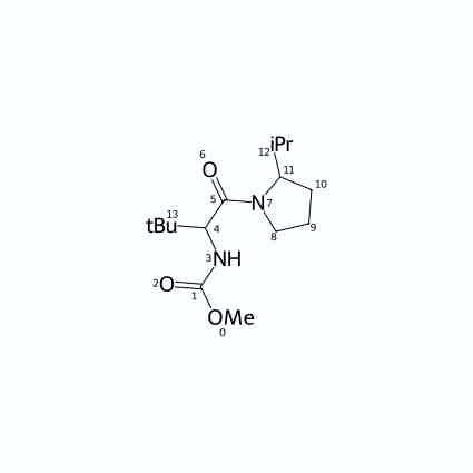 COC(=O)NC(C(=O)N1CCCC1C(C)C)C(C)(C)C